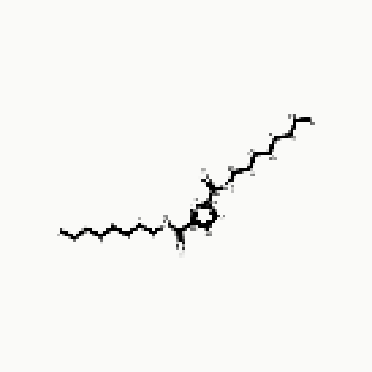 CCCCCCCCOC(=O)c1ccc(C(=O)OCCCCCCCC)o1